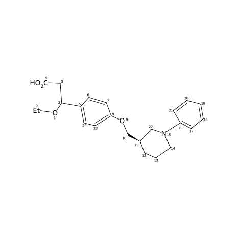 CCOC(CC(=O)O)c1ccc(OC[C@@H]2CCCN(c3ccccc3)C2)cc1